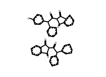 O=C1c2ccccc2C(=O)C1C(=O)C(c1ccccc1)c1ccc(Cl)cc1.O=C1c2ccccc2C(=O)C1C(=O)C(c1ccccc1)c1ccccc1